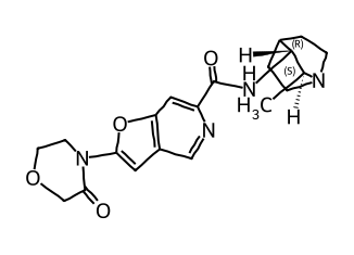 C[C@H]1[C@H](NC(=O)c2cc3oc(N4CCOCC4=O)cc3cn2)C2CCN1CC2